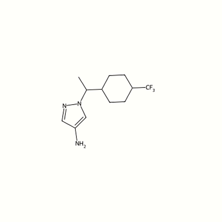 CC(C1CCC(C(F)(F)F)CC1)n1cc(N)cn1